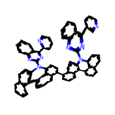 c1ccc(-c2nc(N3c4ccc5ccccc5c4-c4cccc5c(-c6cccc7c8c(ccc67)N(c6nc(-c7cccnc7)c7ccccc7n6)c6cccc7cccc-8c67)ccc3c45)nc3ccccc23)nc1